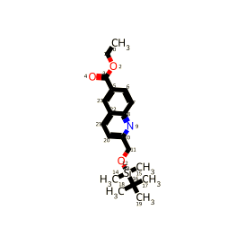 CCOC(=O)c1ccc2nc(CO[Si](C)(C)C(C)(C)C)ccc2c1